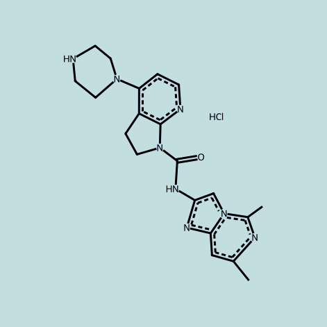 Cc1cc2nc(NC(=O)N3CCc4c(N5CCNCC5)ccnc43)cn2c(C)n1.Cl